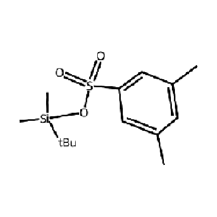 Cc1cc(C)cc(S(=O)(=O)O[Si](C)(C)C(C)(C)C)c1